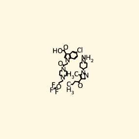 CCCC(=O)c1cnn(C2CCN(N)CC2)c1C.O=C(O)c1cn(CC(=O)N2CCN(CCOC(F)(F)F)CC2)c2ccc(Cl)cc12